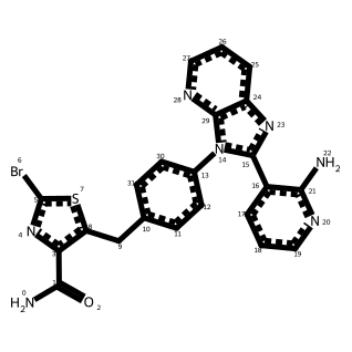 NC(=O)c1nc(Br)sc1Cc1ccc(-n2c(-c3cccnc3N)nc3cccnc32)cc1